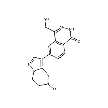 CCN1CCn2ncc(-c3ccc4c(=O)[nH]nc(CN)c4c3)c2C1